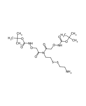 CC(C)(C)OC(=O)NOCC(=O)N(CCSSCCN)C(=O)CONC(=O)OC(C)(C)C